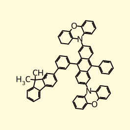 CC1(C)c2ccccc2-c2ccc(-c3cccc(-c4c5ccc(N6c7ccccc7Oc7ccccc76)cc5c(-c5ccccc5)c5ccc(N6C7=C(C=CCC7)Oc7ccccc76)cc45)c3)cc21